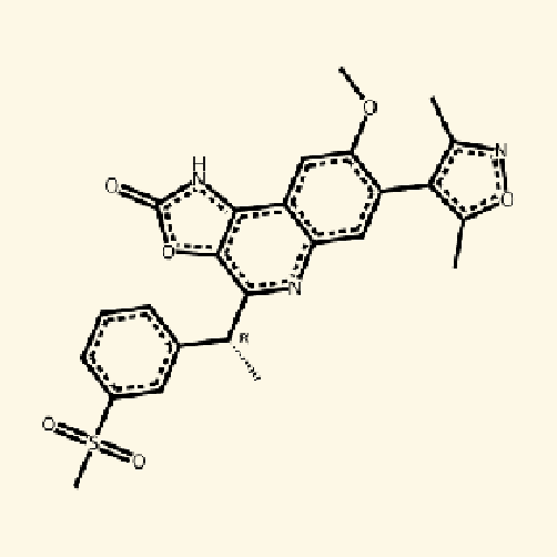 COc1cc2c(cc1-c1c(C)noc1C)nc([C@H](C)c1cccc(S(C)(=O)=O)c1)c1oc(=O)[nH]c12